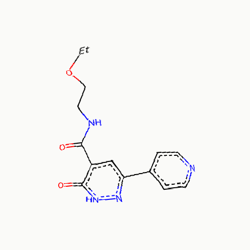 CCOCCNC(=O)c1cc(-c2ccncc2)n[nH]c1=O